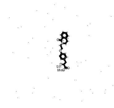 CCOC(Cc1ccc(OCCN2CCc3ccccc3C2=O)cc1)C(=O)OC